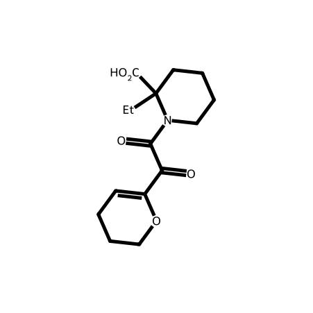 CCC1(C(=O)O)CCCCN1C(=O)C(=O)C1=CCCCO1